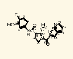 C[C@H]1[C@@H](C(=O)Nc2ccc(F)c(C#N)c2)CCN1C(=O)c1cc2cccnc2[nH]1